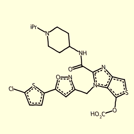 CC(C)N1CCC(NC(=O)c2nc3csc(OC(=O)O)c3n2Cc2cc(-c3ccc(Cl)s3)on2)CC1